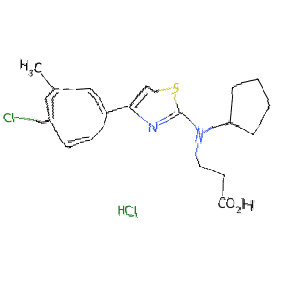 Cc1cc(-c2csc(N(CCC(=O)O)C3CCCC3)n2)ccc1Cl.Cl